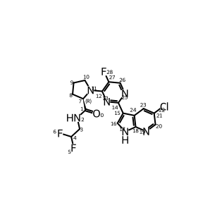 O=C(NCC(F)F)[C@H]1CCCN1c1nc(-c2c[nH]c3ncc(Cl)cc23)ncc1F